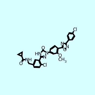 COc1cc(-n2nc(-c3cc(CNC(=O)C4CC4)ccc3Cl)[nH]c2=O)ccc1-c1nc(-c2ccc(Cl)cc2)no1